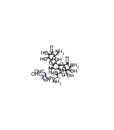 CCC/C=C/C=O.CCC/C=C/C=O.NCC[C@H](O)C(=O)N[C@@H]1C[C@H](N)[C@@H](O[C@H]2O[C@H](CN)[C@@H](O)[C@H](O)[C@H]2O)[C@H](O)[C@H]1O[C@H]1O[C@H](CO)[C@@H](O)[C@H](N)[C@H]1O